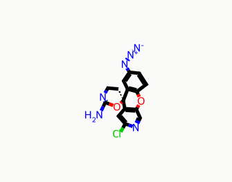 [N-]=[N+]=Nc1ccc2c(c1)[C@@]1(CCN=C(N)O1)c1cc(Cl)ncc1O2